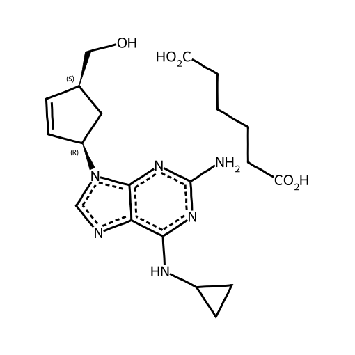 Nc1nc(NC2CC2)c2ncn([C@H]3C=C[C@@H](CO)C3)c2n1.O=C(O)CCCCC(=O)O